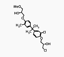 COC[C@H](O)COc1ccc(C(C)(C)c2ccc(OC[C@@H](O)CCl)c(Cl)c2)cc1C